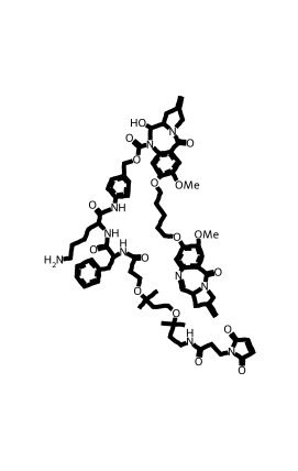 C=C1CC2C=Nc3cc(OCCCCCOc4cc5c(cc4OC)C(=O)N4CC(=C)CC4C(O)N5C(=O)OCc4ccc(NC(=O)C(CCCCN)NC(=O)C(Cc5ccccc5)NC(=O)CCOC(C)(C)CCOC(C)(C)CCNC(=O)CCN5C(=O)C=CC5=O)cc4)c(OC)cc3C(=O)N2C1